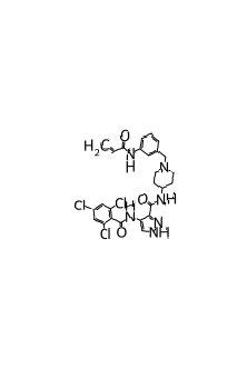 C=CC(=O)Nc1cccc(CN2CCC(NC(=O)c3n[nH]cc3NC(=O)c3c(Cl)cc(Cl)cc3Cl)CC2)c1